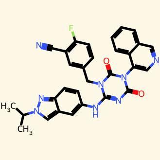 CC(C)n1cc2cc(Nc3nc(=O)n(-c4cncc5ccccc45)c(=O)n3Cc3ccc(F)c(C#N)c3)ccc2n1